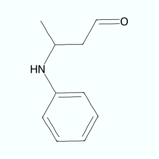 CC(CC=O)Nc1ccccc1